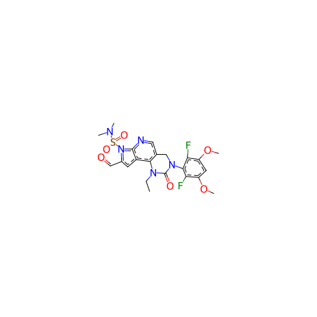 CCN1C(=O)N(c2c(F)c(OC)cc(OC)c2F)Cc2cnc3c(cc(C=O)n3S(=O)(=O)N(C)C)c21